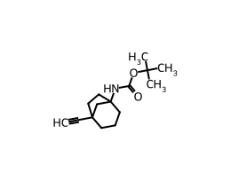 C#CC12CCCC(NC(=O)OC(C)(C)C)(CC1)C2